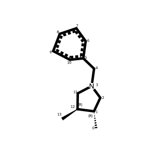 C[C@H]1CN(Cc2ccccc2)C[C@@H]1C